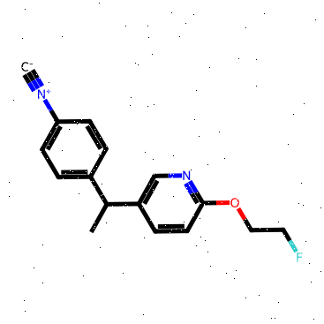 [C-]#[N+]c1ccc(C(C)c2ccc(OCCF)nc2)cc1